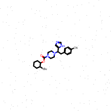 CC(C)(C)C1CCCCC1OC(=O)N1CCN(C(Cc2ccc(C#N)cc2)c2cnc[nH]2)CC1